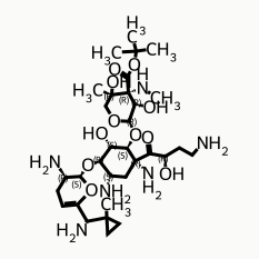 CN[C@]1(C(=O)OC(C)(C)C)[C@@H](O)[C@@H](O[C@@H]2[C@@H](O)[C@H](O[C@H]3OC(C(N)C4(C)CC4)=CC[C@H]3N)[C@@H](N)C[C@]2(N)C(=O)[C@H](O)CCN)OC[C@]1(C)O